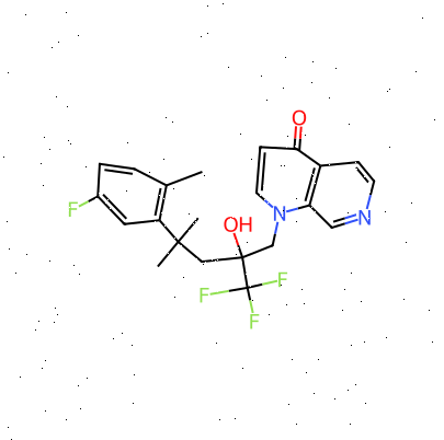 Cc1ccc(F)cc1C(C)(C)CC(O)(Cn1ccc(=O)c2ccncc21)C(F)(F)F